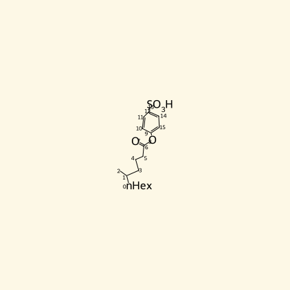 CCCCCCC(C)CCCC(=O)Oc1ccc(S(=O)(=O)O)cc1